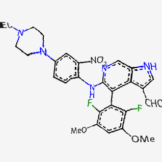 CCN1CCN(c2ccc(Nc3ncc4[nH]cc(C=O)c4c3-c3c(F)c(OC)cc(OC)c3F)c([N+](=O)[O-])c2)CC1